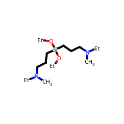 CCO[Si](CCCN(C)CC)(CCCN(C)CC)OCC